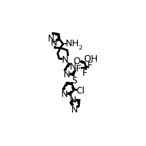 N[C@@H]1c2ccnn2CC12CCN(c1cnc(Sc3ccnc(-n4ccnc4)c3Cl)cn1)CC2.O=C(O)C(F)(F)F